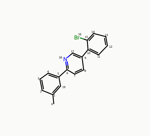 Cc1cccc(-c2ccc(-c3ccccc3Br)cn2)c1